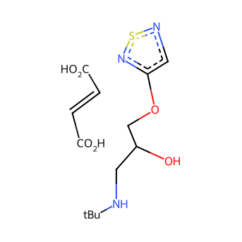 CC(C)(C)NCC(O)COc1cnsn1.O=C(O)C=CC(=O)O